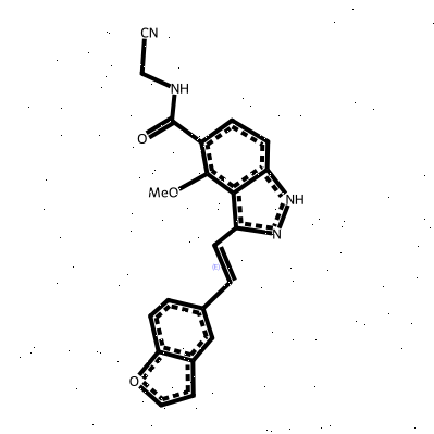 COc1c(C(=O)NCC#N)ccc2[nH]nc(/C=C/c3ccc4occc4c3)c12